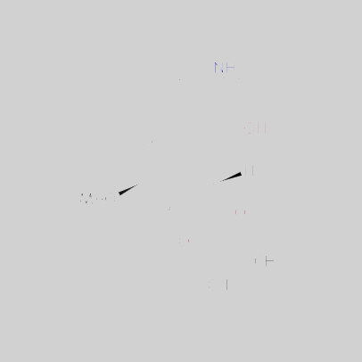 CO[C@H]1OC(CN)[C@H](O)[C@@H]2OC(C)(C)OC12